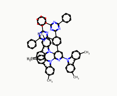 Cc1ccc2c(c1)c1cc(C)ccc1n2-c1cc(-c2ccc(-c3nc(-c4ccccc4)nc(-c4ccccc4)n3)c(-c3nc(-c4ccccc4)nc(-c4ccccc4)n3)c2)c(-n2c3ccc(C)cc3c3cc(C)ccc32)c(-n2c3ccc(C)cc3c3cc(C)ccc32)n1